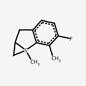 Cc1c(F)ccc2c1S1(C)CC1C2